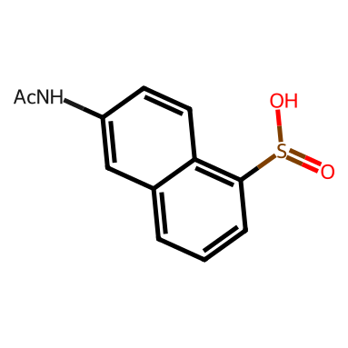 CC(=O)Nc1ccc2c(S(=O)O)cccc2c1